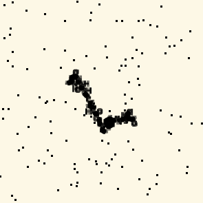 CCN(CCOC(=O)NCCCCCCNC(=O)Nc1nc(=O)cc(C)[nH]1)c1ccc(/N=N/c2nc(Cl)c(C=O)s2)cc1